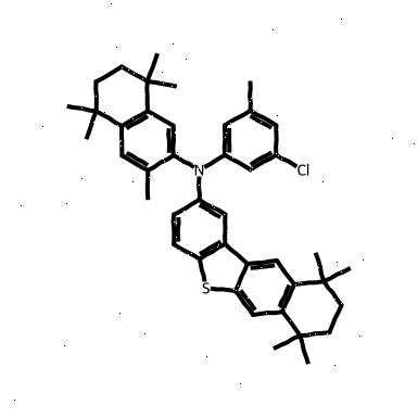 Cc1cc(Cl)cc(N(c2ccc3sc4cc5c(cc4c3c2)C(C)(C)CCC5(C)C)c2cc3c(cc2C)C(C)(C)CCC3(C)C)c1